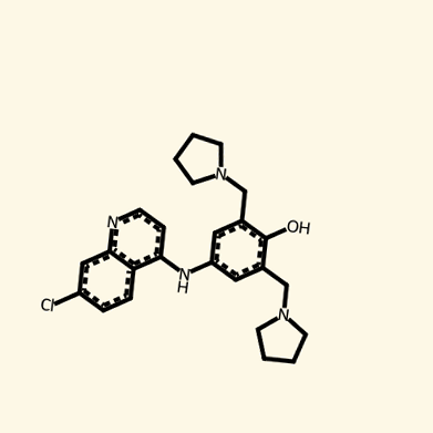 Oc1c(CN2CCCC2)cc(Nc2ccnc3cc(Cl)ccc23)cc1CN1CCCC1